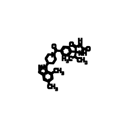 Cc1cc(C)c2c(cnn2C2CCN(C(=O)c3ccc([C@@]4(C(C)C)NC(=O)NC4=O)cc3)CC2)c1